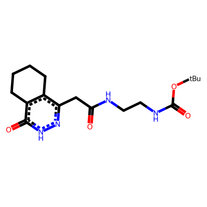 CC(C)(C)OC(=O)NCCNC(=O)Cc1n[nH]c(=O)c2c1CCCC2